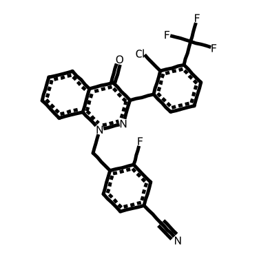 N#Cc1ccc(Cn2nc(-c3cccc(C(F)(F)F)c3Cl)c(=O)c3ccccc32)c(F)c1